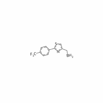 BCc1csc(-c2ccc(C(F)(F)F)cc2)n1